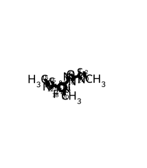 Cc1csc(-c2nc(-c3cc(-c4cnc(C)s4)c(F)c(C)n3)no2)n1